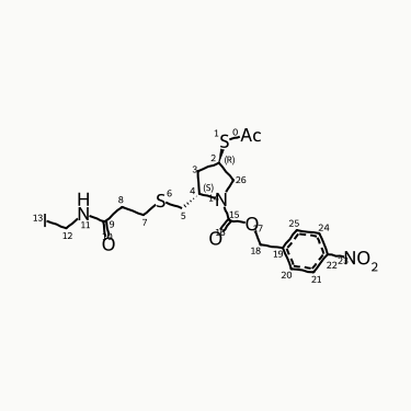 CC(=O)S[C@@H]1C[C@@H](CSCCC(=O)NCI)N(C(=O)OCc2ccc([N+](=O)[O-])cc2)C1